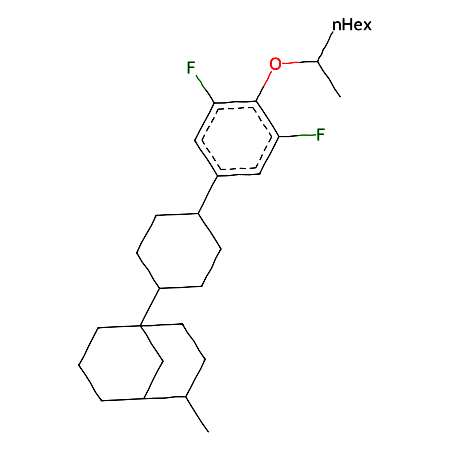 CCCCCCC(C)Oc1c(F)cc(C2CCC(C34CCCC(C3)C(C)CC4)CC2)cc1F